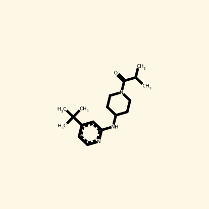 CC(C)C(=O)N1CCC(Nc2cc(C(C)(C)C)ccn2)CC1